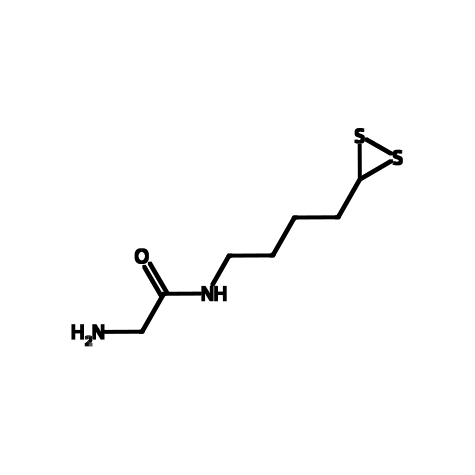 NCC(=O)NCCCCC1SS1